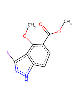 COC(=O)c1ccc2[nH]nc(I)c2c1OC